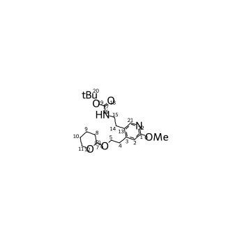 COc1cc(CCO[C@@H]2CCCCO2)c(CCNC(=O)OC(C)(C)C)cn1